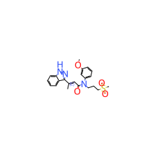 COc1cccc(N(CCCS(C)(=O)=O)C(=O)/C=C(\C)c2n[nH]c3ccccc23)c1